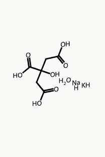 O.O=C(O)CC(O)(CC(=O)O)C(=O)O.[KH].[NaH]